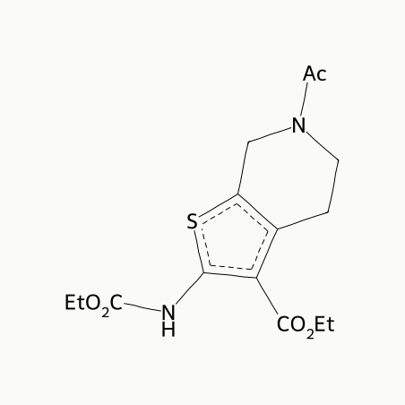 CCOC(=O)Nc1sc2c(c1C(=O)OCC)CCN(C(C)=O)C2